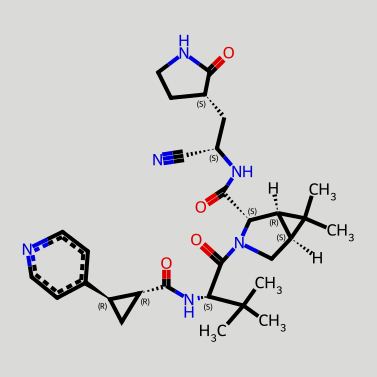 CC(C)(C)[C@H](NC(=O)[C@@H]1C[C@H]1c1ccncc1)C(=O)N1C[C@H]2[C@@H]([C@H]1C(=O)N[C@H](C#N)C[C@@H]1CCNC1=O)C2(C)C